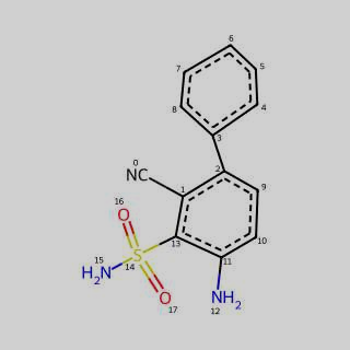 N#Cc1c(-c2ccccc2)ccc(N)c1S(N)(=O)=O